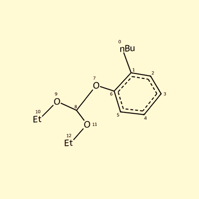 CCCCc1ccccc1OC(OCC)OCC